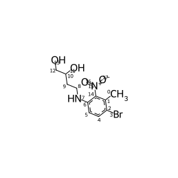 Cc1c(Br)ccc(NCCC(O)CO)c1[N+](=O)[O-]